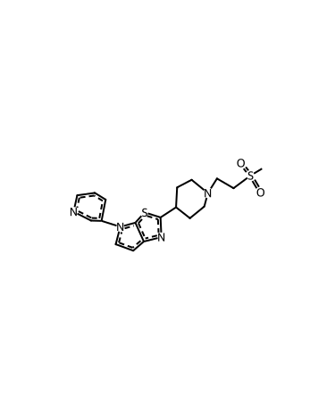 CS(=O)(=O)CCN1CCC(c2nc3ccn(-c4cccnc4)c3s2)CC1